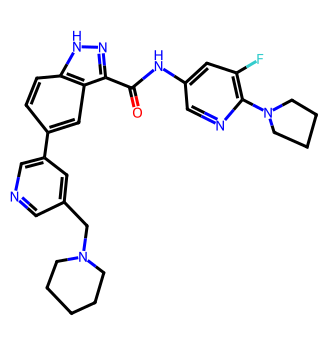 O=C(Nc1cnc(N2CCCC2)c(F)c1)c1n[nH]c2ccc(-c3cncc(CN4CCCCC4)c3)cc12